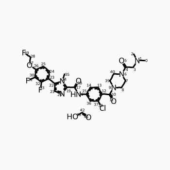 CN(C)CC(=O)N1CCN(C(=O)c2ccc(NC(=O)c3ncc(-c4ccc(OCF)c(F)c4F)n3C)cc2Cl)CC1.O=CO